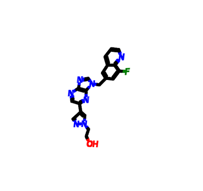 OCCn1cc(-c2cnc3ncn(Cc4cc(F)c5ncccc5c4)c3n2)cn1